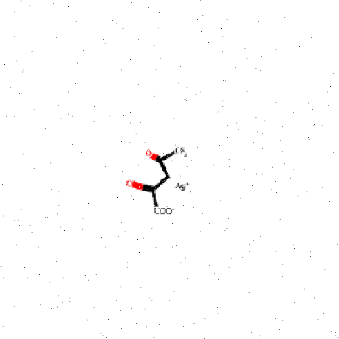 O=C([O-])C(=O)CC(=O)C(F)(F)F.[Ag+]